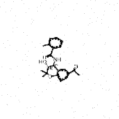 CC(=O)c1ccc2c(c1)[C@H](NC(=O)c1ccccc1C)[C@@H](O)C(C)(C)O2